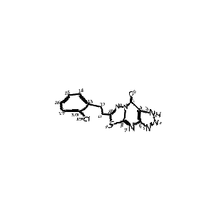 O=c1c2[nH]nnc2nc2sc(CCc3ccccc3Cl)nn12